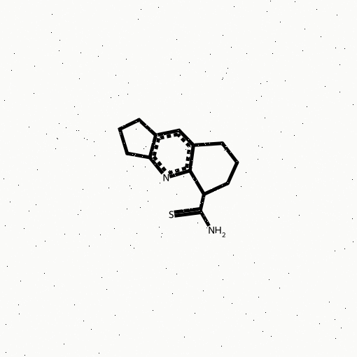 NC(=S)C1CCCc2cc3c(nc21)CCC3